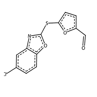 O=Cc1ccc(Sc2nc3cc(Cl)ccc3o2)o1